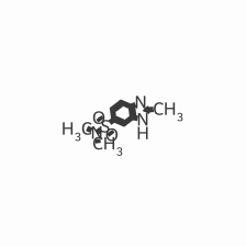 Cc1nc2ccc(S(=O)(=O)N(C)C)cc2[nH]1